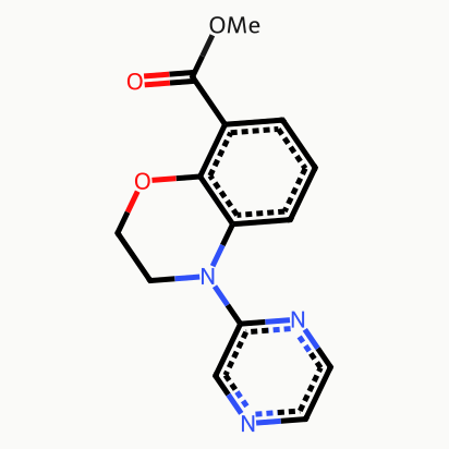 COC(=O)c1cccc2c1OCCN2c1cnccn1